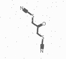 N#CSCC(=O)CSC#N